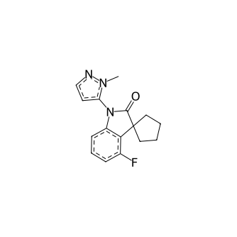 Cn1nccc1N1C(=O)C2(CCCC2)c2c(F)cccc21